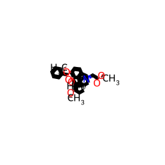 COC(=O)CN1CCC23c4c5ccc(OC)c4O[C@H]2[C@@]2(OC)CC[C@@]3(C[C@@H]2COCc2ccccc2)C1C5